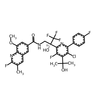 COc1cc(C(=O)NC[C@](O)(c2nc(-c3ccc(F)cc3)c(Cl)c(C(C)(C)O)c2F)C(F)(F)F)cc2cc(C)c(F)nc12